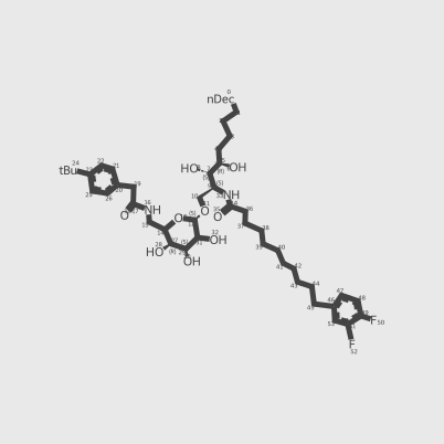 CCCCCCCCCCCCCC[C@@H](O)[C@@H](O)[C@H](CO[C@H]1OC(CNC(=O)Cc2ccc(C(C)(C)C)cc2)[C@H](O)[C@H](O)C1O)NC(=O)CCCCCCCCCCc1ccc(F)c(F)c1